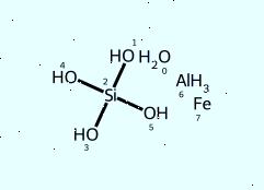 O.O[Si](O)(O)O.[AlH3].[Fe]